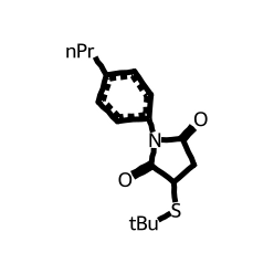 CCCc1ccc(N2C(=O)CC(SC(C)(C)C)C2=O)cc1